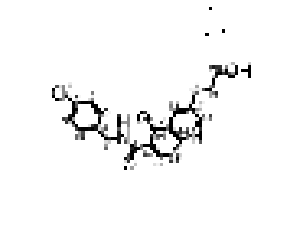 O=C(NCc1ccc(Cl)cc1)c1csc2ncc(CCCO)cc2c1=O